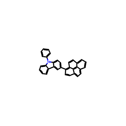 c1ccc(-n2c3ccccc3c3cc(-c4ccc5ccc6cccc7ccc4c5c67)ccc32)cc1